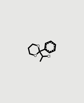 CC(Cl)C1(c2ccccc2)OCCCO1